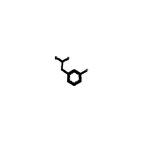 Fc1cccc(CC(F)F)c1